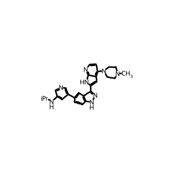 CC(C)Nc1cncc(-c2ccc3[nH]nc(-c4cc5c(N6CCN(C)CC6)ccnc5[nH]4)c3c2)c1